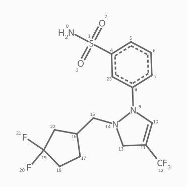 NS(=O)(=O)c1cccc(N2C=C(C(F)(F)F)CN2CC2CCC(F)(F)C2)c1